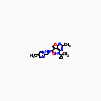 Cc1cnc(CNC(=O)c2coc3nc(C)nc(NC4(C)CC4)c23)nc1